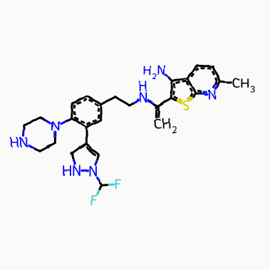 C=C(NCCc1ccc(N2CCNCC2)c(C2=CN(C(F)F)NC2)c1)c1sc2nc(C)ccc2c1N